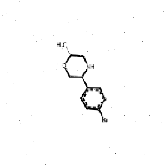 C[C@@H]1CN[C@@H](c2ccc(Br)cc2)CO1